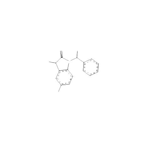 O=C1C(O)c2cc(Cl)ccc2N1C(Cl)c1ccccc1